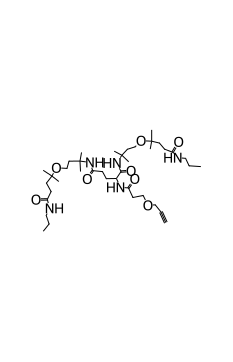 C#CCOCCC(=O)NC(CCC(=O)NC(C)(C)CCOC(C)(C)CCC(=O)NCCC)C(=O)NC(C)(C)CCOC(C)(C)CCC(=O)NCCC